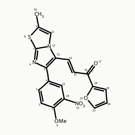 COc1ccc(-c2nc3sc(C)cn3c2/C=C/C(=O)c2ccco2)cc1[N+](=O)[O-]